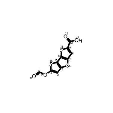 O=COc1cc2sc3cc(C(=O)O)sc3c2s1